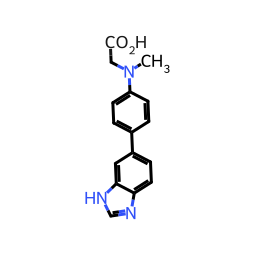 CN(CC(=O)O)c1ccc(-c2ccc3nc[nH]c3c2)cc1